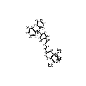 CCN(CC)c1ccc(C=CC=Cc2ccc(N(c3ccccc3)c3ccccc3)cc2)cc1N(CC)CC